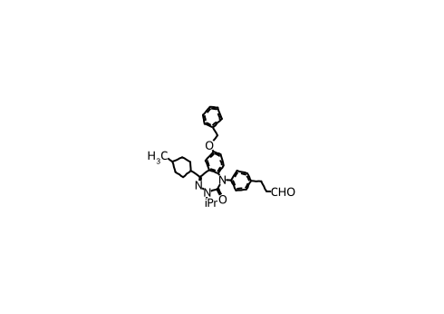 CC1CCC(C2=NN(C(C)C)C(=O)N(c3ccc(CCC=O)cc3)c3ccc(OCc4ccccc4)cc32)CC1